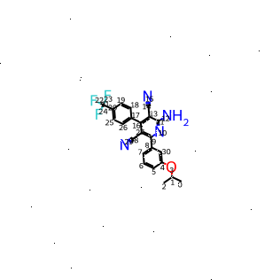 CC(C)Oc1cccc(-c2nc(N)c(C#N)c(-c3ccc(C(F)(F)F)cc3)c2C#N)c1